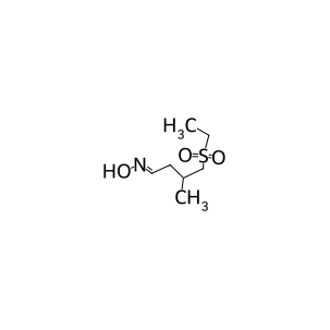 CCS(=O)(=O)CC(C)CC=NO